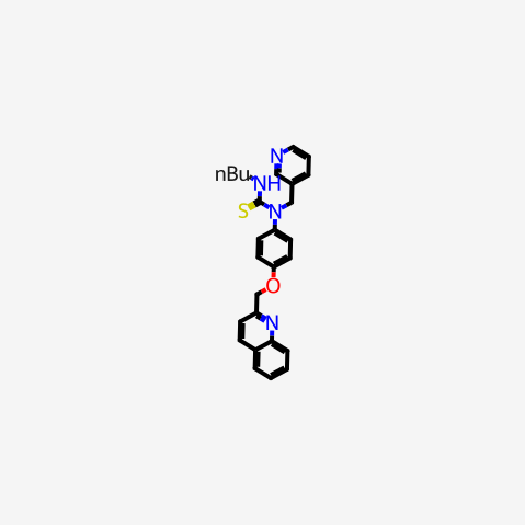 CCCCNC(=S)N(Cc1cccnc1)c1ccc(OCc2ccc3ccccc3n2)cc1